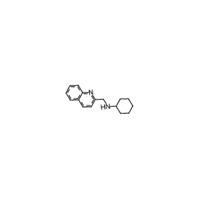 c1ccc2nc(CNC3CCCCC3)ccc2c1